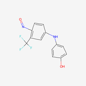 O=Nc1ccc(Nc2ccc(O)cc2)cc1C(F)(F)F